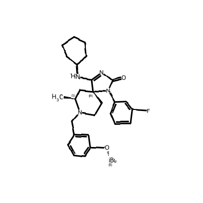 CC[C@@H](C)Oc1cccc(CN2CC[C@@]3(C[C@@H]2C)C(NC2CCCCC2)=NC(=O)N3c2cccc(F)c2)c1